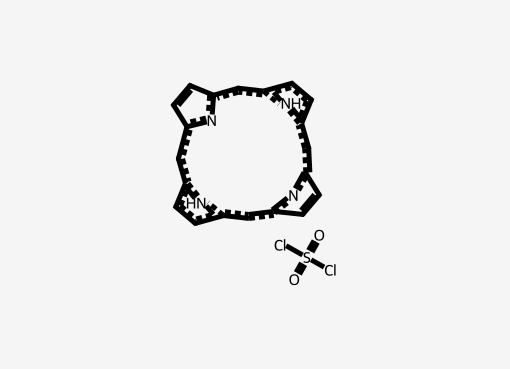 C1=Cc2cc3ccc(cc4nc(cc5ccc(cc1n2)[nH]5)C=C4)[nH]3.O=S(=O)(Cl)Cl